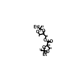 CCC1(C)OCC(COC(=O)C2COC(C)(CC)O2)O1